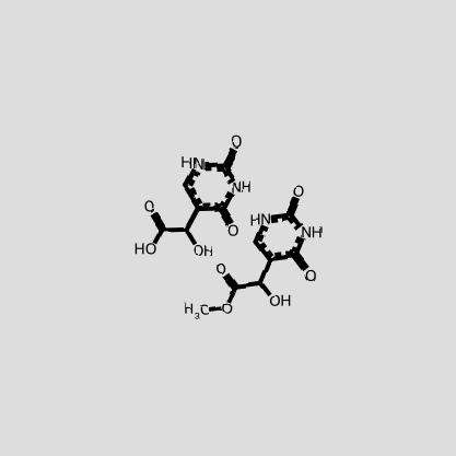 COC(=O)C(O)c1c[nH]c(=O)[nH]c1=O.O=C(O)C(O)c1c[nH]c(=O)[nH]c1=O